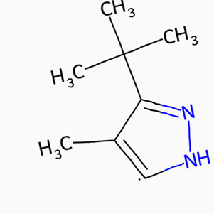 Cc1[c][nH]nc1C(C)(C)C